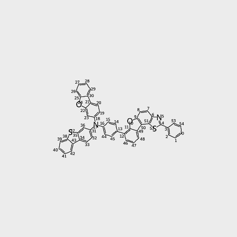 c1ccc(-c2nc3ccc4oc5c(-c6ccc(N(c7ccc8c(c7)oc7ccccc78)c7ccc8c(c7)sc7ccccc78)cc6)cccc5c4c3s2)cc1